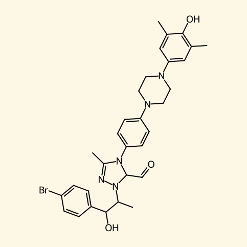 CC1=NN(C(C)C(O)c2ccc(Br)cc2)C(C=O)N1c1ccc(N2CCN(c3cc(C)c(O)c(C)c3)CC2)cc1